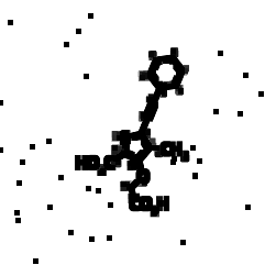 Cc1c(C#Cc2ccccc2)sc(C(=O)O)c1OCC(=O)O